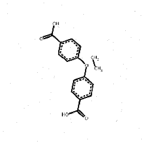 CC.O=C(O)c1ccc(Oc2ccc(C(=O)O)cc2)cc1